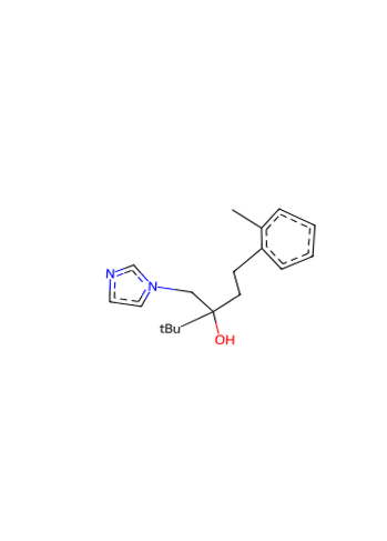 Cc1ccccc1CCC(O)(Cn1ccnc1)C(C)(C)C